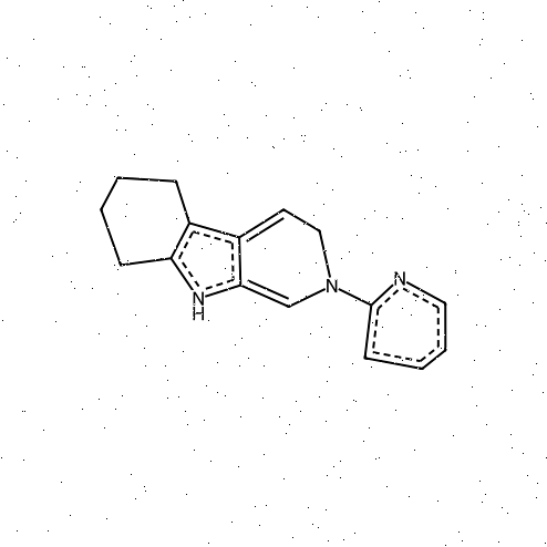 C1=c2[nH]c3c(c2=CCN1c1ccccn1)CCCC3